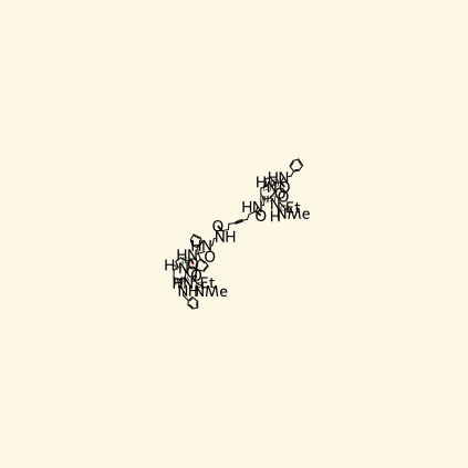 CC[C@H](NC)C(=O)N[C@@H]1C(=O)N2[C@@H](CC[C@@H]1CNC(=O)CCC#CCCC(=O)NCCNC(=O)C(NC(=O)[C@@H]1CC[C@@H]3CC[C@H](CNCc4ccccc4)[C@H](NC(=O)[C@H](CC)NC)C(=O)N31)(c1ccccc1)c1ccccc1)CC[C@H]2C(=O)NCc1ccccc1